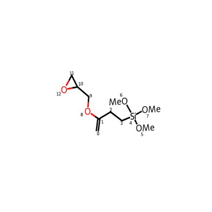 C=C(CC[Si](OC)(OC)OC)OCC1CO1